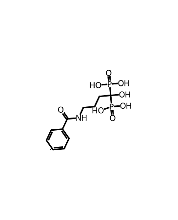 O=C(NCCCC(O)(P(=O)(O)O)P(=O)(O)O)c1cc[c]cc1